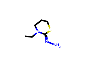 CCN1CCCS/C1=N\N